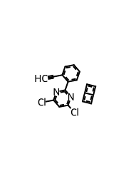 C#Cc1ccccc1-c1nc(Cl)cc(Cl)n1.c1cc2ccc1-2